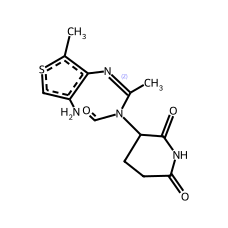 C/C(=N/c1c(N)csc1C)N(C=O)C1CCC(=O)NC1=O